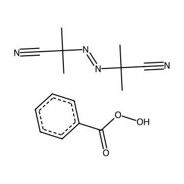 CC(C)(C#N)N=NC(C)(C)C#N.O=C(OO)c1ccccc1